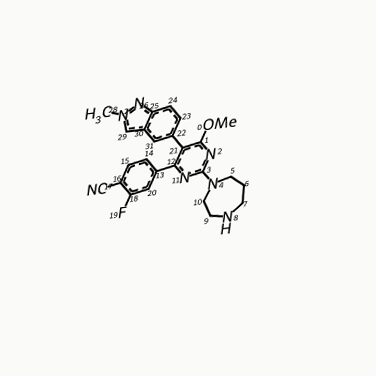 COc1nc(N2CCCNCC2)nc(-c2ccc(C#N)c(F)c2)c1-c1ccc2nn(C)cc2c1